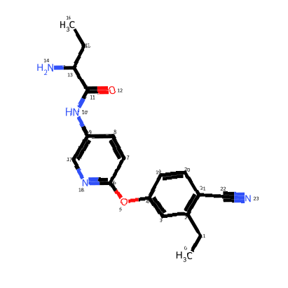 CCc1cc(Oc2ccc(NC(=O)C(N)CC)cn2)ccc1C#N